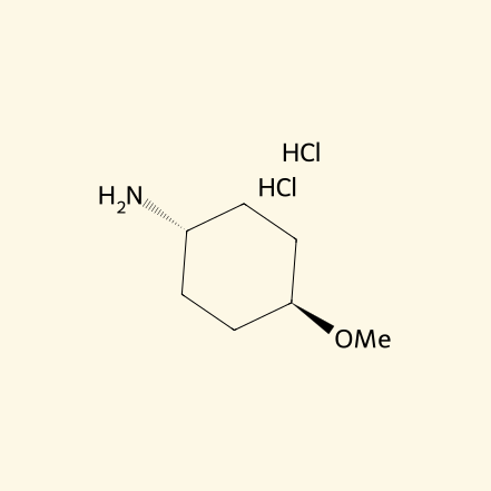 CO[C@H]1CC[C@H](N)CC1.Cl.Cl